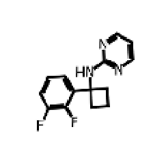 Fc1cccc(C2(Nc3ncccn3)CCC2)c1F